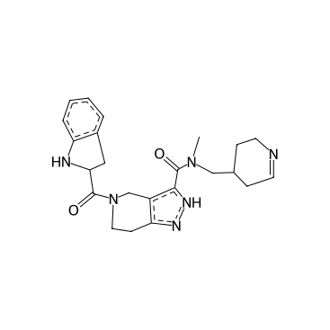 CN(CC1CC=NCC1)C(=O)c1[nH]nc2c1CN(C(=O)C1Cc3ccccc3N1)CC2